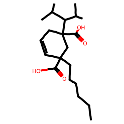 CCCCCCC1(C(=O)O)C=CCC(C(=O)O)(C(C(C)C)C(C)C)C1